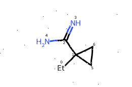 CCC1(C(=N)N)CC1